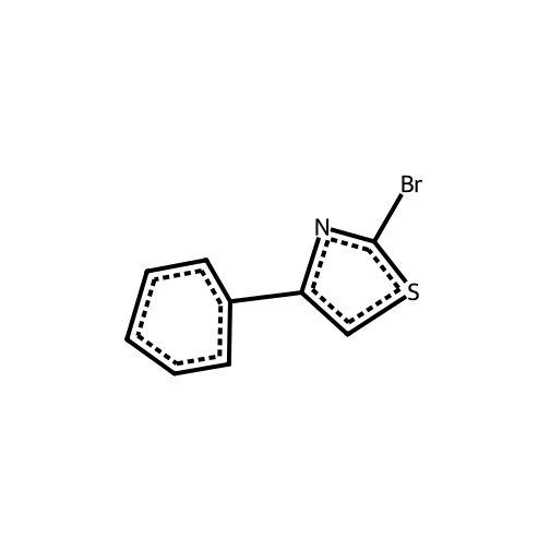 Brc1nc(-c2ccccc2)cs1